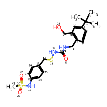 CC(C)(C)c1ccc(CNC(=O)NSCc2ccc(NS(C)(=O)=O)cc2)c(CO)c1